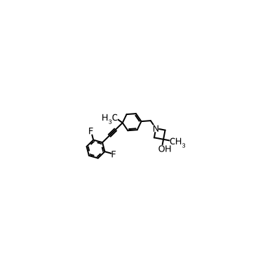 CC1(C#Cc2c(F)cccc2F)C=CC(CN2CC(C)(O)C2)=CC1